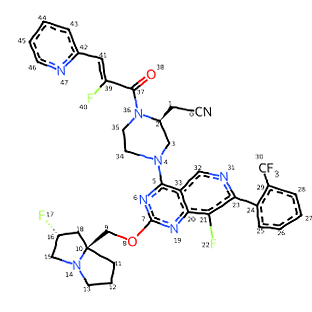 N#CC[C@H]1CN(c2nc(OC[C@@]34CCCN3C[C@H](F)C4)nc3c(F)c(-c4ccccc4C(F)(F)F)ncc23)CCN1C(=O)/C(F)=C/c1ccccn1